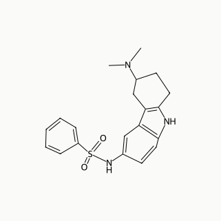 CN(C)C1CCc2[nH]c3ccc(NS(=O)(=O)c4ccccc4)cc3c2C1